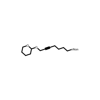 CCCCCCCCCCCCCC#CCOC1CCCCO1